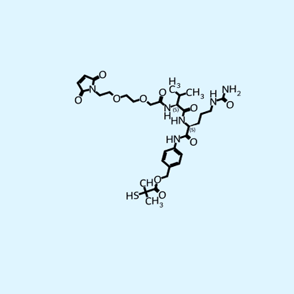 CC(C)[C@H](NC(=O)COCCOCCN1C(=O)C=CC1=O)C(=O)N[C@@H](CCCNC(N)=O)C(=O)Nc1ccc(COC(=O)C(C)(C)S)cc1